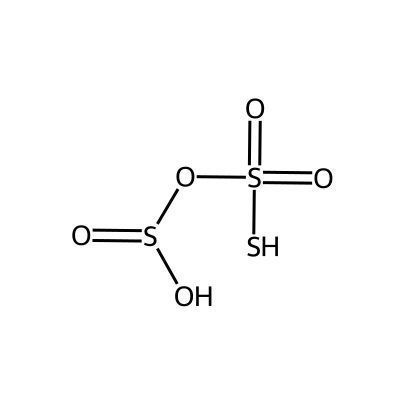 O=S(O)OS(=O)(=O)S